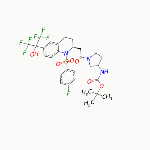 CC(C)(C)OC(=O)N[C@H]1CCN(C(=O)C[C@@H]2CCc3cc(C(O)(C(F)(F)F)C(F)(F)F)ccc3N2S(=O)(=O)c2ccc(F)cc2)C1